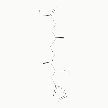 CCCCCCCCOC(=O)CNC(=O)CNC(=O)C(N)Cc1c[nH]cn1